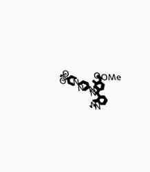 COC(=O)c1ccc2c(-c3cccc4nn(C)cc34)nn(-c3ccc(N4CCC(S(C)(=O)=O)CC4)nc3)c2c1C